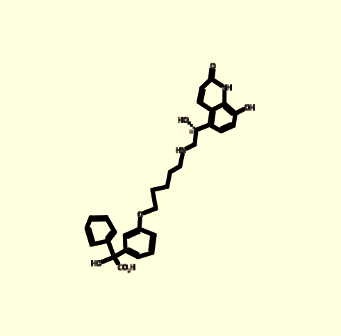 O=C(O)C(O)(c1ccccc1)c1cccc(OCCCCCNC[C@H](O)c2ccc(O)c3[nH]c(=O)ccc23)c1